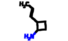 CC=CC1CCC1N